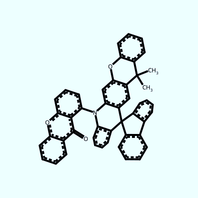 CC1(C)c2ccccc2Oc2cc3c(cc21)C1(c2ccccc2-c2ccccc21)c1ccccc1N3c1cccc2oc3ccccc3c(=O)c12